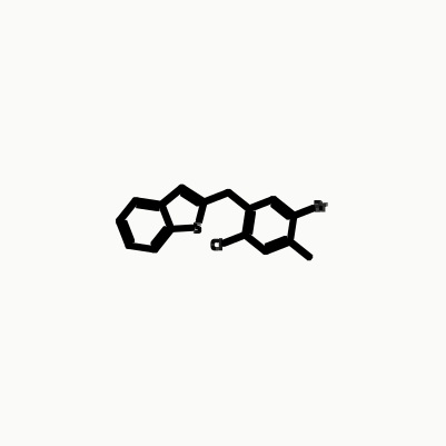 Cc1cc(Cl)c(Cc2cc3ccccc3s2)cc1Br